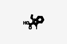 CCn1c(C(=O)O)c(I)c2ccccc21